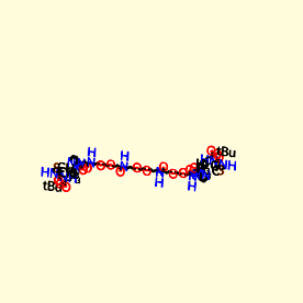 CC(C)(C)OC(=O)[C@H](Cc1ccc(-n2c(=O)n(CC(=O)NCCOCCOCCC(=O)NCCCOCCOCCCNC(=O)CCOCCOCC(=O)Nn3c(=O)n(-c4ccc(C[C@H](NC(=O)[C@H]5NCSC5(C)C)C(=O)OC(C)(C)C)cc4)c4ncccc43)c3cccnc32)cc1)NC(=O)[C@H]1NCSC1(C)C